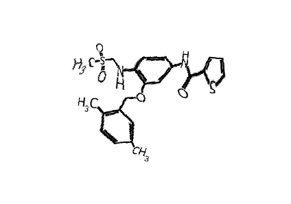 Cc1ccc(C)c(COc2cc(NC(=O)c3cccs3)ccc2NCS(C)(=O)=O)c1